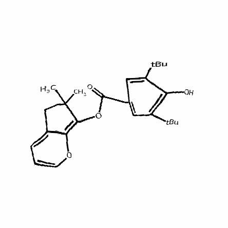 CC1(C)CC2=CC=COC2=C1OC(=O)c1cc(C(C)(C)C)c(O)c(C(C)(C)C)c1